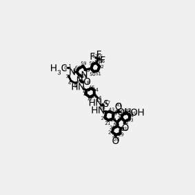 CCN1CCCN(C(=O)Nc2ccc(CNC(=S)Nc3ccc(-c4c5ccc(=O)cc-5oc5cc(O)ccc45)c(C(=O)O)c3)cc2)c2nc(-c3cccc(C(F)(F)F)c3)ccc21